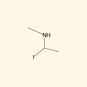 CNC(C)I